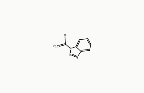 C=C(Br)n1nnc2ccccc21